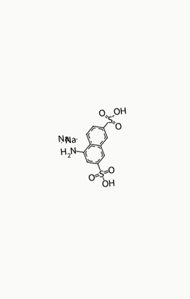 Nc1cc(S(=O)(=O)O)cc2cc(S(=O)(=O)O)ccc12.[Na].[Na]